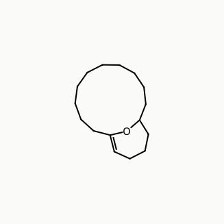 C1=C2CCCCCCCCCCC(CCC1)O2